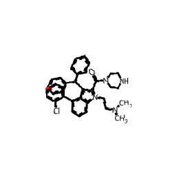 CN(C)CCn1c(C(=O)N2CCNCC2)c(C(c2ccccc2)c2ccccc2)c2c(-c3ccccc3Cl)cccc21